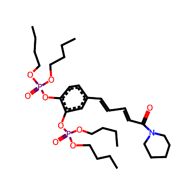 CCCCOP(=O)(OCCCC)Oc1ccc(/C=C/C=C/C(=O)N2CCCCC2)cc1OP(=O)(OCCCC)OCCCC